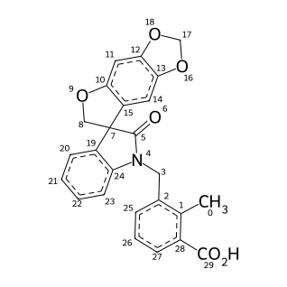 Cc1c(CN2C(=O)C3(COc4cc5c(cc43)OCO5)c3ccccc32)cccc1C(=O)O